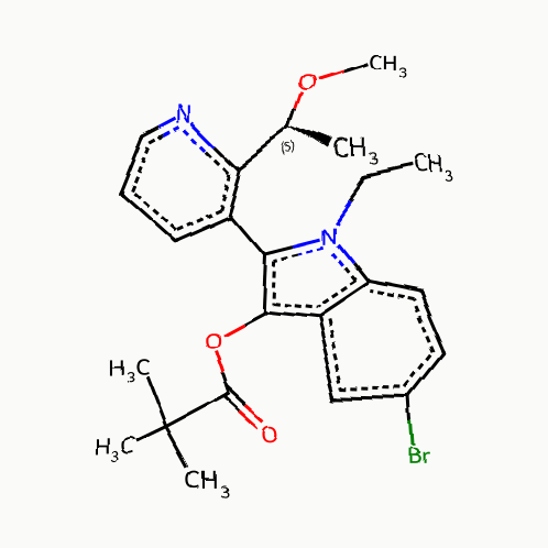 CCn1c(-c2cccnc2[C@H](C)OC)c(OC(=O)C(C)(C)C)c2cc(Br)ccc21